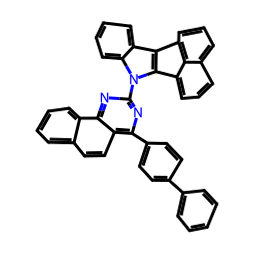 c1ccc(-c2ccc(-c3nc(-n4c5c(c6ccccc64)-c4cccc6cccc-5c46)nc4c3ccc3ccccc34)cc2)cc1